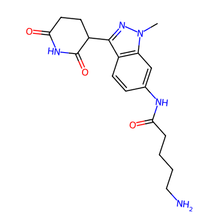 Cn1nc(C2CCC(=O)NC2=O)c2ccc(NC(=O)CCCCN)cc21